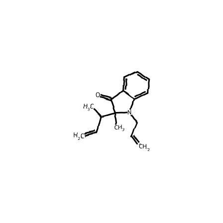 C=CCN1c2ccccc2C(=O)C1(C)C(C)C=C